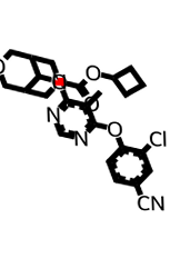 Cc1c(Oc2ccc(C#N)cc2Cl)ncnc1OC1C2COCC1CN(C(=O)OC1CCC1)C2